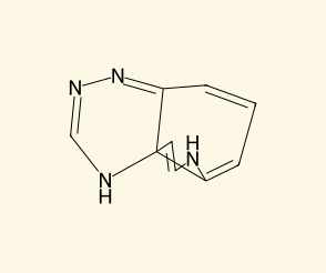 C1=CC2=NN=CNC23C=CNC3=C1